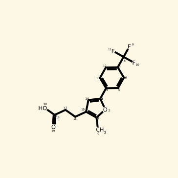 Cc1oc(-c2ccc(C(F)(F)F)cc2)cc1CCC(=O)O